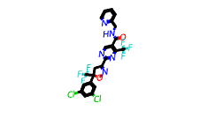 O=C(NCc1ccccn1)c1cnc(C2=NOC(c3cc(Cl)cc(Cl)c3)(C(F)(F)F)C2)nc1C(F)(F)F